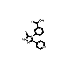 O=C(O)c1cccc(-n2c(-c3ccncc3)n[nH]c2=S)c1